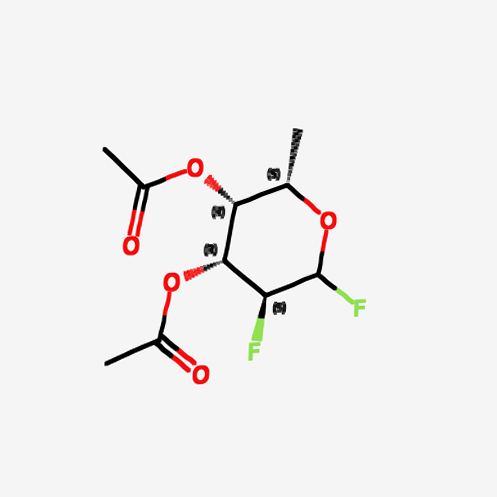 CC(=O)O[C@@H]1[C@H](OC(C)=O)[C@H](C)OC(F)[C@H]1F